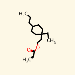 C=CC(=O)OCCC1(CC)CCC(CCC)CC1